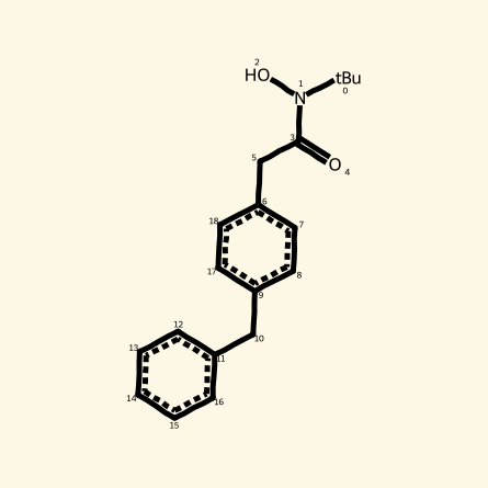 CC(C)(C)N(O)C(=O)Cc1ccc(Cc2ccccc2)cc1